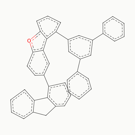 c1ccc(-c2cc(-c3ccccc3)cc(-c3cccc4oc5ccc(-c6cccc7c6-c6ccccc6C7)cc5c34)c2)cc1